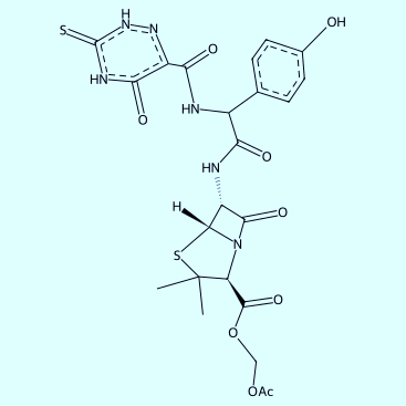 CC(=O)OCOC(=O)[C@@H]1N2C(=O)[C@@H](NC(=O)C(NC(=O)c3n[nH]c(=S)[nH]c3=O)c3ccc(O)cc3)[C@H]2SC1(C)C